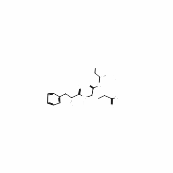 CC(C)C[C@H](NC(=O)[C@H](CCC(N)=O)NC(=O)[C@@H](N)Cc1ccccc1)C(=O)O